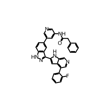 O=C(Cc1ccccc1)Nc1cncc(-c2ccc3[nH]nc(-c4cc5c(-c6ccccc6F)cncc5[nH]4)c3c2)c1